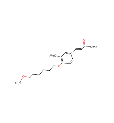 COC(=O)C=Cc1ccc(OCCCCCCO[N+](=O)[O-])c(OC)c1